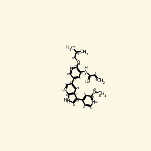 C=CC(=O)Nc1cc(-c2cnc3[nH]cc(-c4ccnc(OC)c4)c3c2)cnc1OCC(C)C